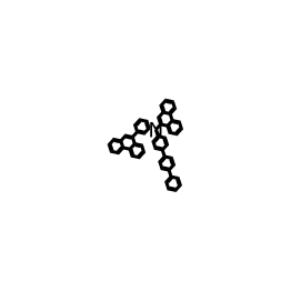 c1ccc(-c2ccc(-c3ccc(N(c4cccc(-c5cc6ccccc6c6ccccc56)c4)c4cc5ccccc5c5ccccc45)cc3)cc2)cc1